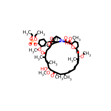 CCOP(=O)(OCC)O[C@@H]1CC[C@@H](CC2[C@@H]3CC(=O)C(C)/C=C(\C)[C@@H](O)[C@@H](OC)C(=O)[C@H](C)CC(C)/C=C/C=C/C=C(\C)[C@@H](OC)C[C@@H]4CC[C@@H](C)[C@@](O)(O4)C(=O)C(=O)N4CCC[C@H]2[C@H]4C(=O)O3)C[C@H]1OC